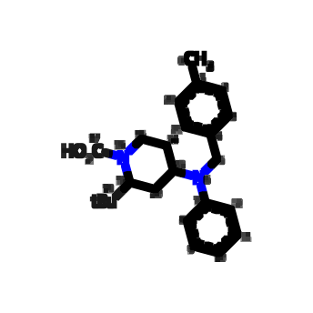 Cc1ccc(CN(c2ccccc2)C2CCN(C(=O)O)C(C(C)(C)C)C2)cc1